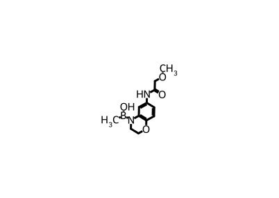 COCC(=O)Nc1ccc2c(c1)N(B(C)O)CCO2